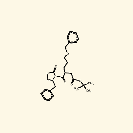 CC(C)(C)OC(=O)CC(CCCOCc1ccccc1)C(=O)N1C(=O)OCC1Cc1ccccc1